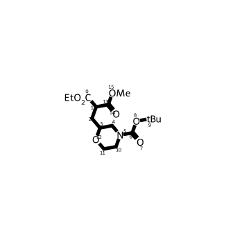 CCOC(=O)C(CC1CN(C(=O)OC(C)(C)C)CCO1)C(=O)OC